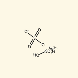 O=S(=O)(O)O.O=S(=O)([O-])[O-].[Ag+2]